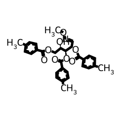 CON=C[C@H](OC(=O)c1ccc(C)cc1)[C@@H](OC(=O)c1ccc(C)cc1)[C@@H](O)COC(=O)c1ccc(C)cc1